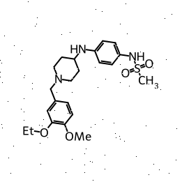 CCOc1cc(CN2CCC(Nc3ccc(NS(C)(=O)=O)cc3)CC2)ccc1OC